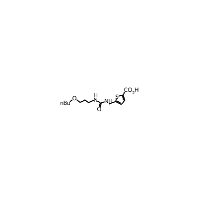 CCCCOCCCNC(=O)NCc1ccc(C(=O)O)s1